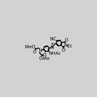 CCN1C(=O)c2cc(C#N)c(/N=N/c3ccc(N(CC(=O)OC)CC(=O)OC)cc3NC(C)=O)cc2C1=O